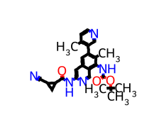 Cc1ccncc1-c1cc2cc(NC(=O)C3CC3C#N)ncc2c(NC(=O)OC(C)(C)C)c1C